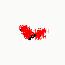 CC[C@H](C)[C@H](C[C@H](O)CC(=O)O[C@@H]1C(C)O[C@@H](OC(=O)[C@]23CCC(C)(C)CC2C2=CCC4[C@@]5(C)CC[C@H](O[C@@H]6OC(C(=O)O)[C@H](O)C(O[C@]7(O[C@H](C(C)O)C(O)CO)OC[C@@H](O)C(O)C7O)C6O)[C@@](C)(C=O)C5CC[C@@]4(C)[C@]2(C)C[C@H]3O)C(O[C@@H]2OC(C)[C@H](O[C@H]3OCC(O)[C@H](O[C@@H]4OCC(O)(CO)C4O)C3O)C(O)C2O)C1O)OC(=O)C[C@@H](O)C[C@H](OC1C(O)[C@H](CO)O[C@H]1CO)[C@@H](C)CC